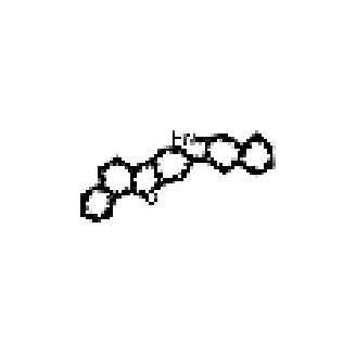 c1ccc2cc3c(cc2c1)[nH]c1cc2c(cc13)oc1c3ccccc3ccc21